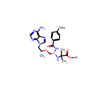 CCCOC(=O)C(C)(C)NP(CO[C@H](C)Cn1cnc2c(N)ncnc21)NC(=O)c1ccc(OC)cc1